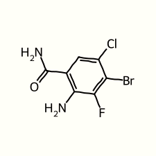 NC(=O)c1cc(Cl)c(Br)c(F)c1N